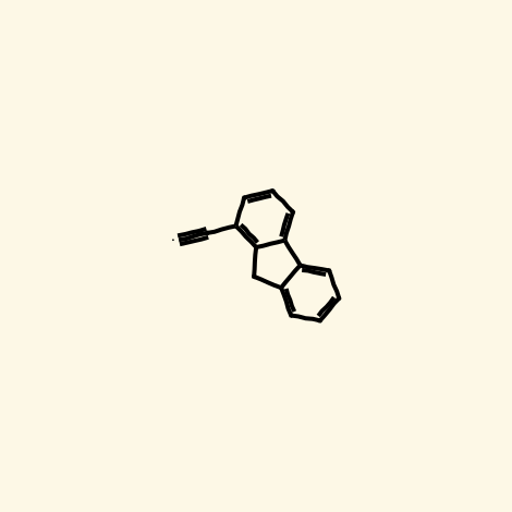 [C]#Cc1cccc2c1Cc1ccccc1-2